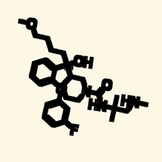 CNCC(C)(C)NC(=O)N1CCCC([C@@](O)(CCCCOC)c2ccccc2Oc2cccc(F)c2)C1